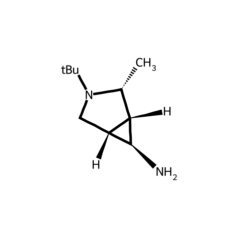 C[C@@H]1[C@@H]2[C@@H](N)[C@@H]2CN1C(C)(C)C